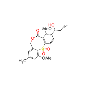 COc1cc(C)cc2c1S(=O)(=O)c1ccc(C(O)CC(C)C)c(OC)c1C(=O)OC2